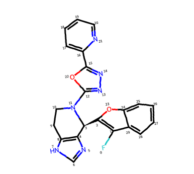 Fc1c([C@H]2c3nc[nH]c3CCN2c2nnc(-c3ccccn3)o2)oc2ccccc12